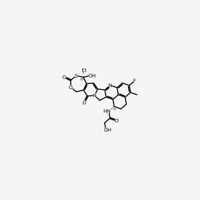 CC[C@@]1(O)SC(=O)OCc2c1cc1n(c2=O)Cc2c-1nc1cc(F)c(C)c3c1c2[C@@H](NC(=O)CO)CC3